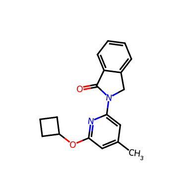 Cc1cc(OC2CCC2)nc(N2Cc3ccccc3C2=O)c1